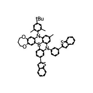 Cc1cc2c3c(c1)N(c1c(C)cc(C(C)(C)C)cc1C)c1cc4c(cc1B3c1ccc(-c3cc5ccccc5s3)cc1N2c1cccc(-c2cc3ccccc3s2)c1)OCCCO4